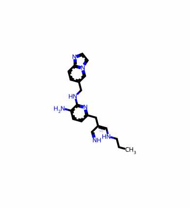 CCCN/C=C(\C=N)Cc1ccc(N)c(NCc2ccc3nccn3c2)n1